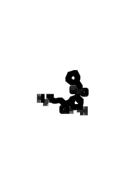 [2H]c1cc(C(O)CCN)cc(S(=O)(=O)CC2CCCCC2)c1